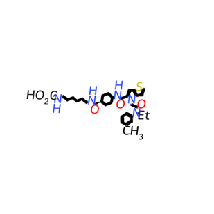 CCN(C(=O)Cn1c(C(=O)N[C@H]2CC[C@H](C(=O)NCCCCCCNC(=O)O)CC2)cc2sccc21)c1cccc(C)c1